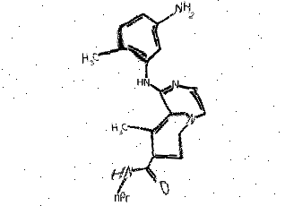 CCCNC(=O)c1cn2ccnc(Nc3cc(N)ccc3C)c2c1C